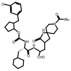 CC(C)(C)C(=O)N1CCC2(CC1)CC(CC(C=O)NC(=O)[C@H](CC1CCCCC1)NC(=O)OC1CCCC1Cc1cccc(Cl)c1)C(=O)N2